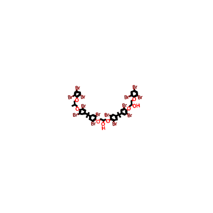 CC(COc1c(Br)cc(Br)cc1Br)COc1c(Br)cc(C(C)(C)c2cc(Br)c(OCC(O)COc3c(Br)cc(C(C)(C)c4cc(Br)c(OCC(O)COc5c(Br)cc(Br)cc5Br)c(Br)c4)cc3Br)c(Br)c2)cc1Br